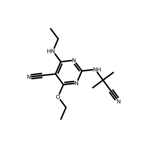 CCNc1nc(NC(C)(C)C#N)nc(OCC)c1C#N